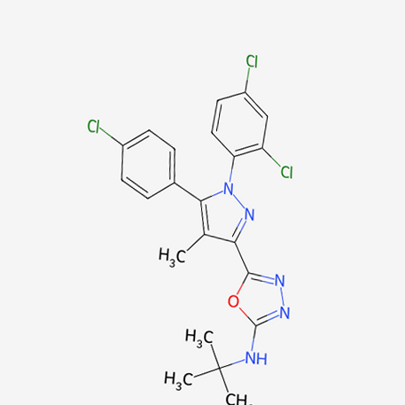 Cc1c(-c2nnc(NC(C)(C)C)o2)nn(-c2ccc(Cl)cc2Cl)c1-c1ccc(Cl)cc1